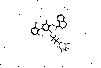 CCc1cccc(CC)c1-c1cc(CCC(C)(C)C(C)(C)C(O[SiH2]C)O[SiH2]C)c(CN(C)C2CCCc3ccccc32)c(C)n1